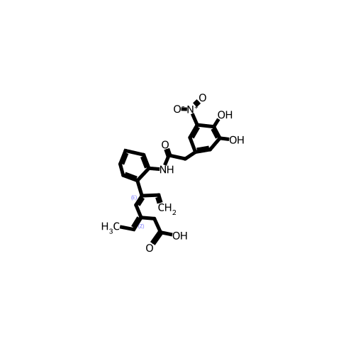 C=C/C(=C\C(=C/C)CC(=O)O)c1ccccc1NC(=O)Cc1cc(O)c(O)c([N+](=O)[O-])c1